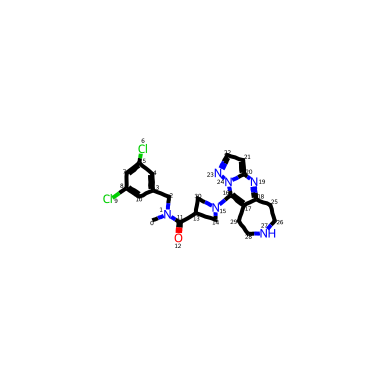 CN(Cc1cc(Cl)cc(Cl)c1)C(=O)C1CN(c2c3c(nc4ccnn24)CCNCC3)C1